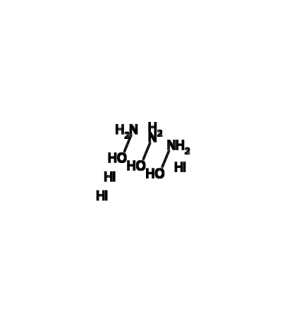 I.I.I.NO.NO.NO